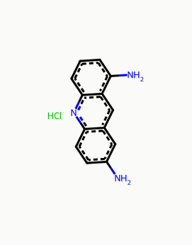 Cl.Nc1ccc2nc3cccc(N)c3cc2c1